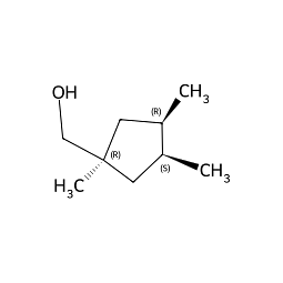 C[C@@H]1C[C@](C)(CO)C[C@@H]1C